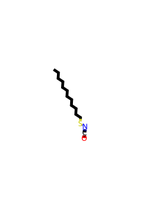 CCCCCCCCCCCCSN=C=O